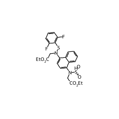 CCOC(=O)CN(Sc1c(F)cccc1F)c1ccc(N(CC(=O)OCC)[SH](=O)=O)c2ccccc12